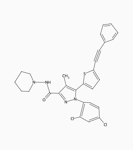 Cc1c(C(=O)NN2CCCCC2)nn(-c2ccc(Cl)cc2Cl)c1-c1ccc(C#Cc2ccccc2)s1